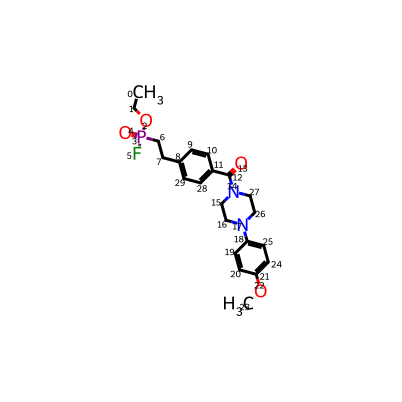 CCOP(=O)(F)CCc1ccc(C(=O)N2CCN(c3ccc(OC)cc3)CC2)cc1